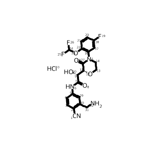 Cl.N#Cc1ccc(NC(=O)[C@H](O)[C@H]2OCCN(c3cc(F)ccc3OC(F)F)C2=O)cc1CN